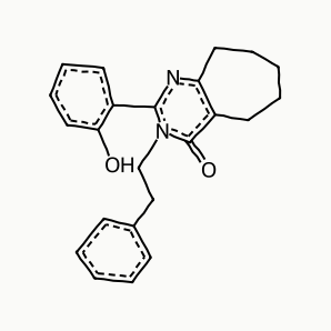 O=c1c2c(nc(-c3ccccc3O)n1CCc1ccccc1)CCCCC2